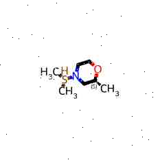 C[C@H]1CN([SH](C)C)CCO1